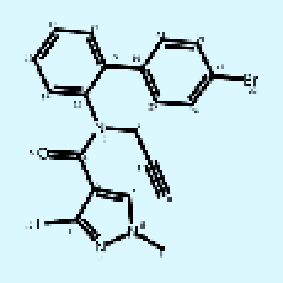 C#CCN(C(=O)c1cn(C)nc1F)c1ccccc1-c1ccc(Br)cc1